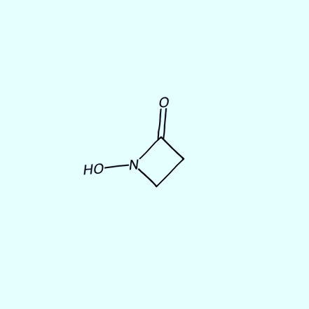 O=C1CCN1O